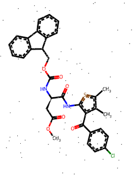 COC(=O)C[C@@H](NC(=O)OCC1c2ccccc2-c2ccccc21)C(=O)Nc1sc(C)c(C)c1C(=O)c1ccc(Cl)cc1